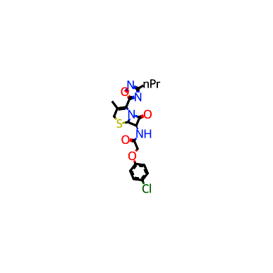 CCCc1noc(C2=C(C)CSC3[C@H](NC(=O)COc4ccc(Cl)cc4)C(=O)N23)n1